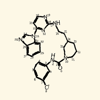 O=C(Nc1cccc(Cl)c1)N1CCCC(CCNc2nccc(-n3cnc4ccccc43)n2)C1